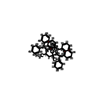 CC(CC(C)(C)N(P(c1ccccc1)c1ccccc1)P(c1ccccc1)c1ccccc1)N(PP)P(c1ccccc1)c1ccccc1